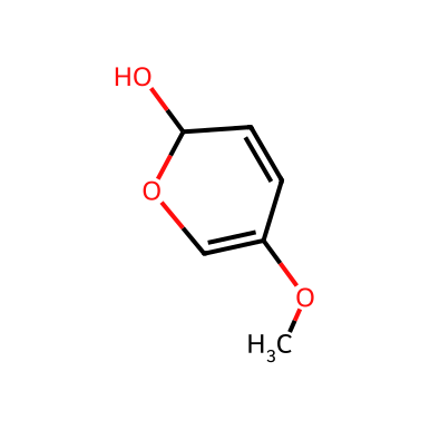 COC1=COC(O)C=C1